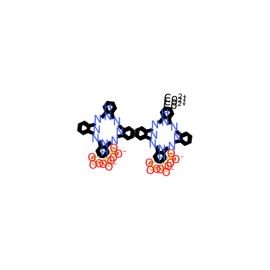 O=S(=O)([O-])c1cc2c3nc4nc(nc5[nH]c(nc6nc(nc([nH]3)c2c(S(=O)(=O)[O-])c1S(=O)(=O)[O-])-c1ccccc1-6)c1ccccc51)-c1ccccc1-4.O=S(=O)([O-])c1cc2c3nc4nc(nc5[nH]c(nc6nc(nc([nH]3)c2c(S(=O)(=O)[O-])c1S(=O)(=O)[O-])-c1ccccc1-6)c1ccccc51)-c1ccccc1-4.[Co+2].[Co+2].[Co+2]